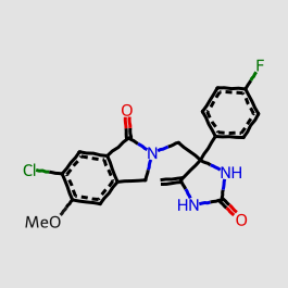 C=C1NC(=O)NC1(CN1Cc2cc(OC)c(Cl)cc2C1=O)c1ccc(F)cc1